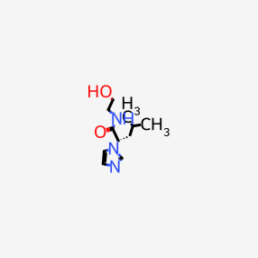 CC(C)C[C@@H](C(=O)NCCO)n1ccnc1